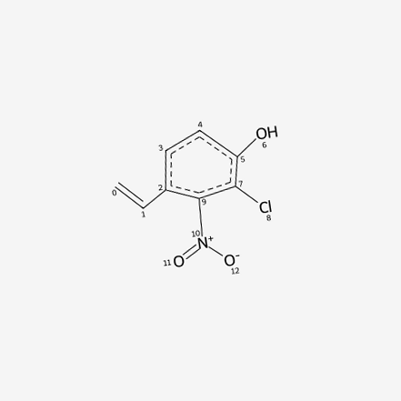 C=Cc1ccc(O)c(Cl)c1[N+](=O)[O-]